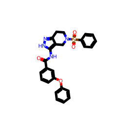 O=C(Nc1[nH]nc2c1CN(S(=O)(=O)c1ccccc1)CC2)c1cccc(Oc2ccccc2)c1